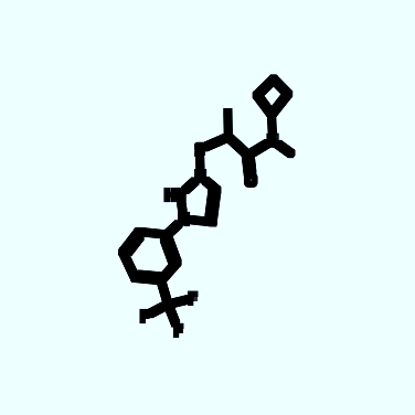 CC(SN1C=CN(c2cccc(C(F)(F)F)c2)N1)C(=O)N(C)C1CCC1